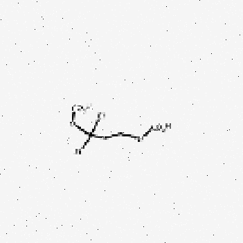 CCC(CC)(CCOC(=O)O)OC(=O)O